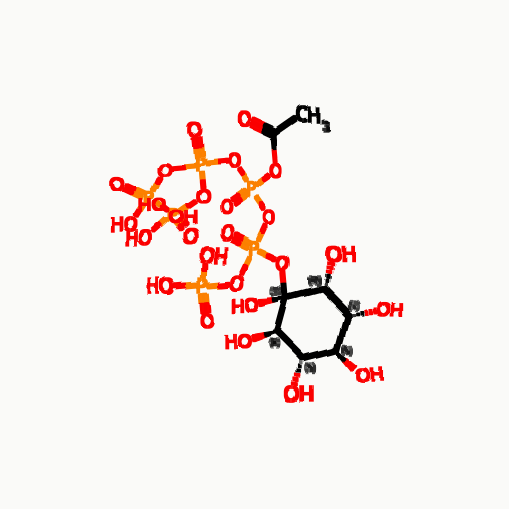 CC(=O)OP(=O)(OP(=O)(O[C@]1(O)[C@H](O)[C@H](O)[C@@H](O)[C@H](O)[C@H]1O)OP(=O)(O)O)OP(=O)(OP(=O)(O)O)OP(=O)(O)O